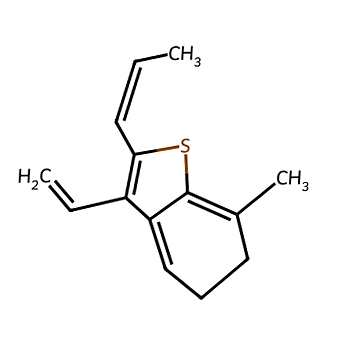 C=Cc1c(/C=C\C)sc2c1=CCCC=2C